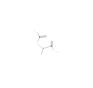 CCCC(=O)NC(C)C(=O)OC